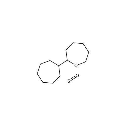 C1CCCC(C2CCCCCO2)CC1.O=S